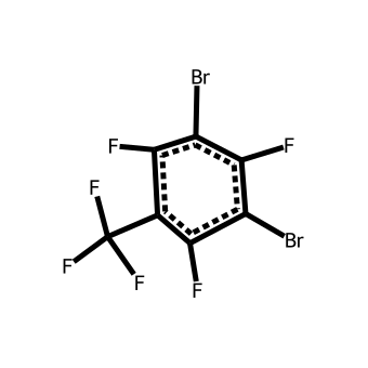 Fc1c(Br)c(F)c(C(F)(F)F)c(F)c1Br